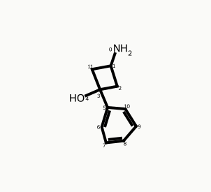 NC1CC(O)(c2ccccc2)C1